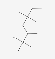 [CH2]C(C)(C)C(C)CC(C)(C)CC